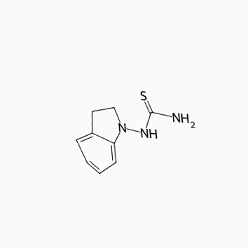 NC(=S)NN1CCc2ccccc21